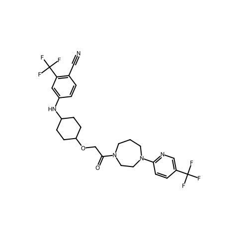 N#Cc1ccc(NC2CCC(OCC(=O)N3CCCN(c4ccc(C(F)(F)F)cn4)CC3)CC2)cc1C(F)(F)F